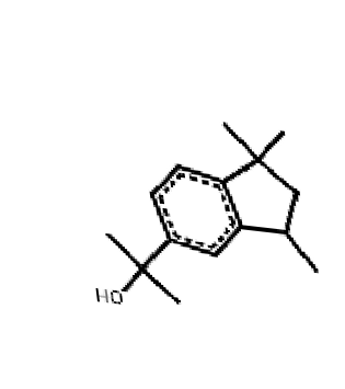 CC1CC(C)(C)c2ccc(C(C)(C)O)cc21